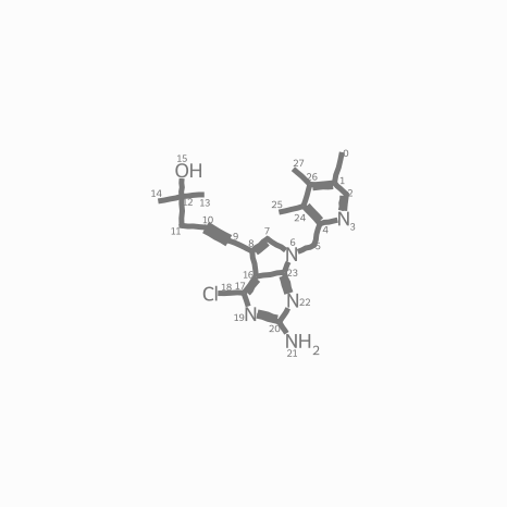 Cc1cnc(Cn2cc(C#CCC(C)(C)O)c3c(Cl)nc(N)nc32)c(C)c1C